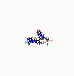 Cc1ncc(NC(=O)c2ccnc(C(F)F)c2)cc1-c1cc(NCCO)nc(N2CCOCC2)c1